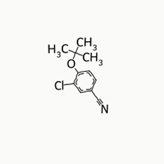 CC(C)(C)Oc1ccc(C#N)cc1Cl